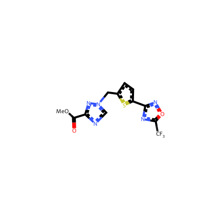 COC(=O)c1ncn(Cc2ccc(-c3noc(C(F)(F)F)n3)s2)n1